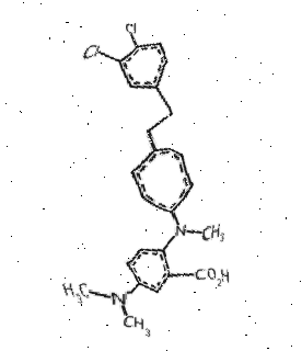 CN(C)c1ccc(N(C)c2ccc(CCc3ccc(Cl)c(Cl)c3)cc2)c(C(=O)O)c1